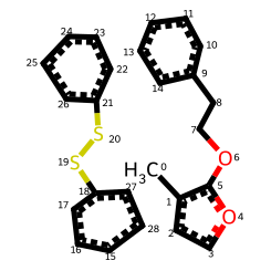 Cc1ccoc1OCCc1ccccc1.c1ccc(SSc2ccccc2)cc1